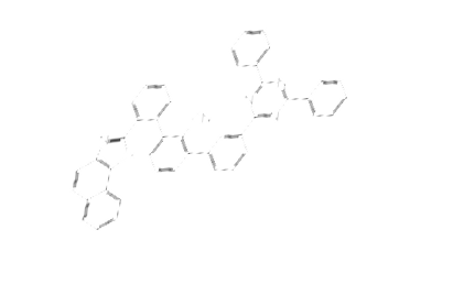 N#Cc1c(-c2cccc(-c3nc(-c4ccccc4)nc(-c4ccccc4)n3)c2)cccc1-c1ccccc1-c1nc2ccc3ccccc3c2o1